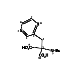 CC(=O)NC(Cc1cnccn1)(C(=O)O)C(=O)O